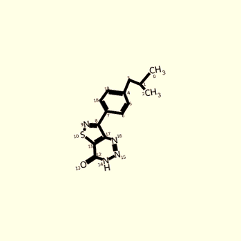 CC(C)Cc1ccc(-c2nsc3c(=O)[nH]nnc23)cc1